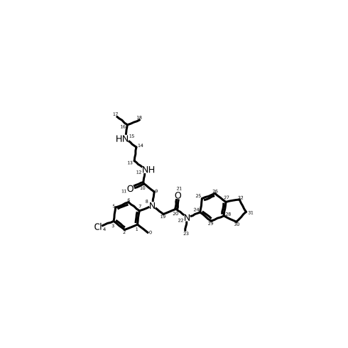 Cc1cc(Cl)ccc1N(CC(=O)NCCNC(C)C)CC(=O)N(C)c1ccc2c(c1)CCC2